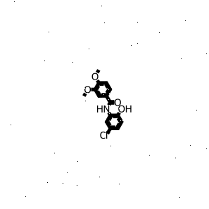 COc1ccc(C(=O)Nc2cc(Cl)ccc2O)cc1OC